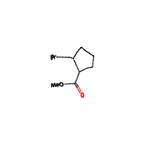 COC(=O)C1CCCC1C(C)C